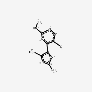 CNc1ncc(Cl)c(-c2sc(N)nc2C)n1